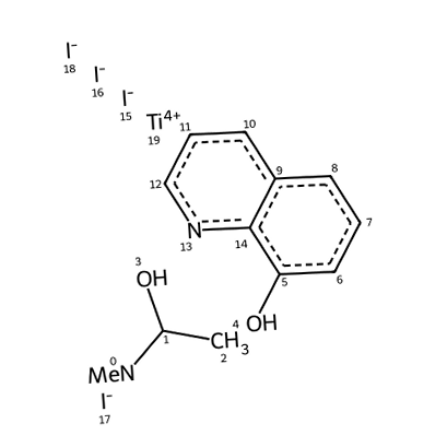 CNC(C)O.Oc1cccc2cccnc12.[I-].[I-].[I-].[I-].[Ti+4]